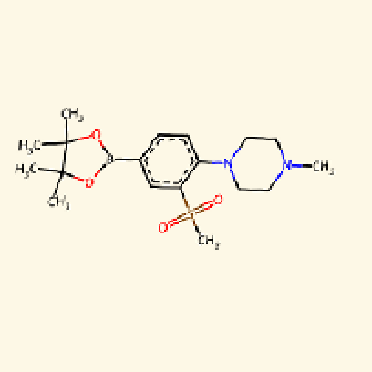 CN1CCN(c2ccc(B3OC(C)(C)C(C)(C)O3)cc2S(C)(=O)=O)CC1